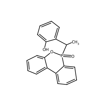 CC(c1ccccc1O)P1(=O)Oc2ccccc2-c2ccccc21